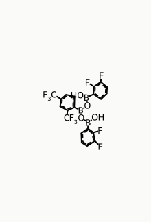 OB(OB(OB(O)c1cccc(F)c1F)c1ccc(C(F)(F)F)cc1C(F)(F)F)c1cccc(F)c1F